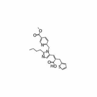 CCCCc1ncc(C=C(Cc2cccs2)C(=O)O)n1Cc1ccc(C(=O)OC)cn1